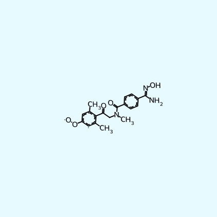 Cc1[c]c(O[O])cc(C)c1C(=O)CN(C)C(=O)c1ccc(C(N)=NO)cc1